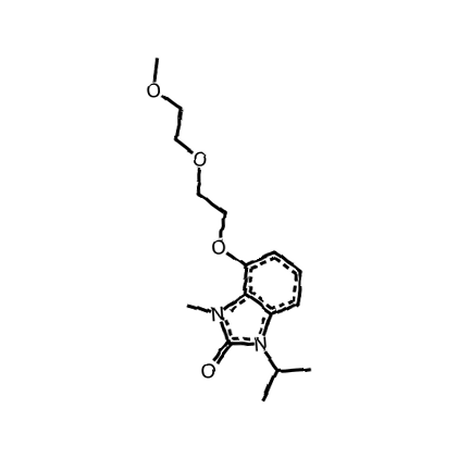 COCCOCCOc1cccc2c1n(C)c(=O)n2C(C)C